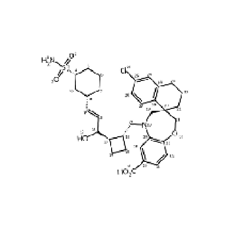 NS(=O)(=O)[C@@H]1CCC[C@H](/C=C/C(O)[C@@H]2CC[C@H]2CN2C[C@@]3(CCCc4cc(Cl)ccc43)COc3ccc(C(=O)O)cc32)C1